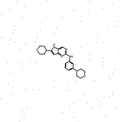 c1cc(Nc2ncc3[nH]c(C4CCOCC4)cc3n2)cc(N2CCOCC2)c1